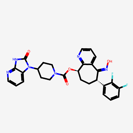 O=C(O[C@@H]1CC[C@@H](c2cccc(F)c2F)/C(=N/O)c2cccnc21)N1CCC(n2c(=O)[nH]c3ncccc32)CC1